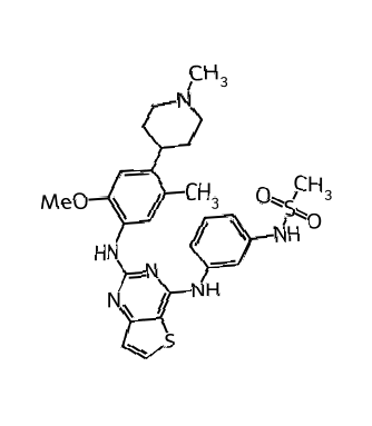 COc1cc(C2CCN(C)CC2)c(C)cc1Nc1nc(Nc2cccc(NS(C)(=O)=O)c2)c2sccc2n1